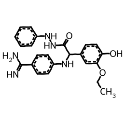 CCOc1cc(C(Nc2ccc(C(=N)N)cc2)C(=O)NNc2ccccc2)ccc1O